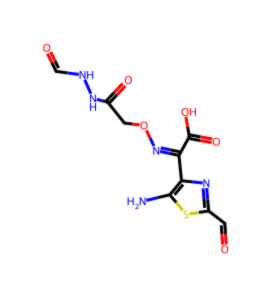 Nc1sc(C=O)nc1C(=NOCC(=O)NNC=O)C(=O)O